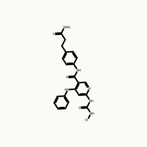 CCNC(=O)Nc1cc(Nc2ccccc2)c(C(=O)Nc2ccc(CCC(=O)NC)cc2)cn1